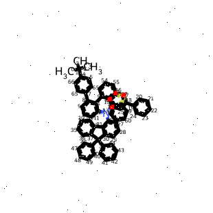 CC(C)(C)c1ccc(-c2cccc(N(c3cccc(-c4ccccc4)c3)c3cccc4c3-c3ccccc3C4(c3ccccc3)c3ccccc3)c2-c2cccc3sc4ccccc4c23)cc1